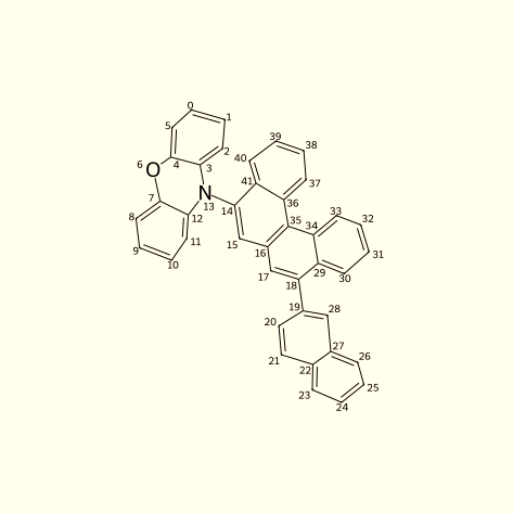 c1ccc2c(c1)Oc1ccccc1N2c1cc2cc(-c3ccc4ccccc4c3)c3ccccc3c2c2ccccc12